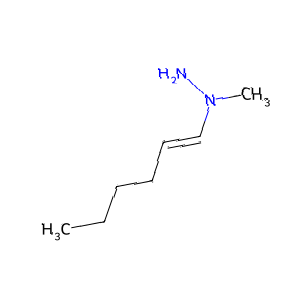 CCCC/C=C/N(C)N